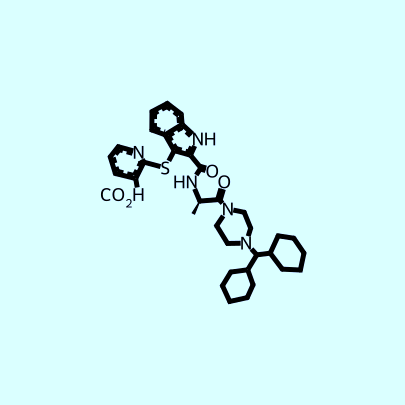 C[C@@H](NC(=O)c1[nH]c2ccccc2c1Sc1ncccc1C(=O)O)C(=O)N1CCN(C(C2CCCCC2)C2CCCCC2)CC1